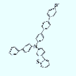 Brc1ccc(-c2ccc(-c3ccc(N(c4ccc(-c5ccccc5)cc4)c4ccc5c(c4)sc4ccccc45)cc3)cc2)cc1